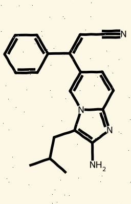 CC(C)Cc1c(N)nc2ccc(/C(=C\C#N)c3ccccc3)cn12